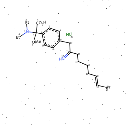 CCN(CC)C(OC)(C(=O)O)c1ccc(CC(=N)CCCCC=CC(C)C)cc1.Cl